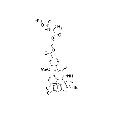 COc1cc(C(=O)OCCOC(=O)[C@H](C)NC(=O)OC(C)(C)C)ccc1NC(=O)[C@@H]1N[C@@H](CC(C)(C)C)[C@](C#N)(c2ccc(Cl)cc2F)[C@H]1c1cccc(Cl)c1F